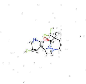 CC1(C(F)F)CCCN2CCC(c3cncc(F)c3)N2C1=O